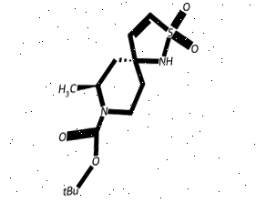 C[C@H]1C[C@@]2(C=CS(=O)(=O)N2)CCN1C(=O)OC(C)(C)C